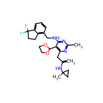 C=C(Cc1nc(C)nc(NCc2cccc3c2CCC3(F)F)c1C1OCCO1)NC1(C)CC1